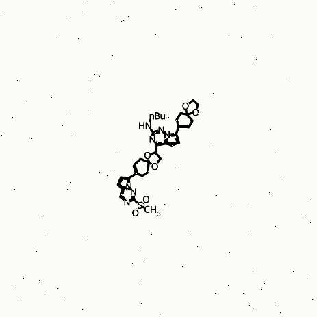 CCCCNc1nc(C2COC3(CC=C(c4ccc5cnc(S(C)(=O)=O)nn45)CC3)O2)c2ccc(C3=CCC4(CC3)OCCO4)n2n1